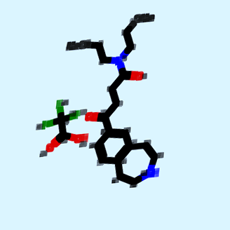 COCCN(CCOC)C(=O)CCC(=O)c1ccc2c(c1)CCNCC2.O=C(O)C(F)(F)F